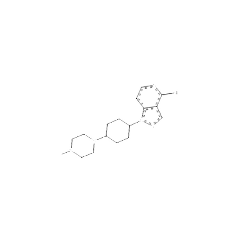 CN1CCN(C2CCC(n3ncc4c(N)nccc43)CC2)CC1